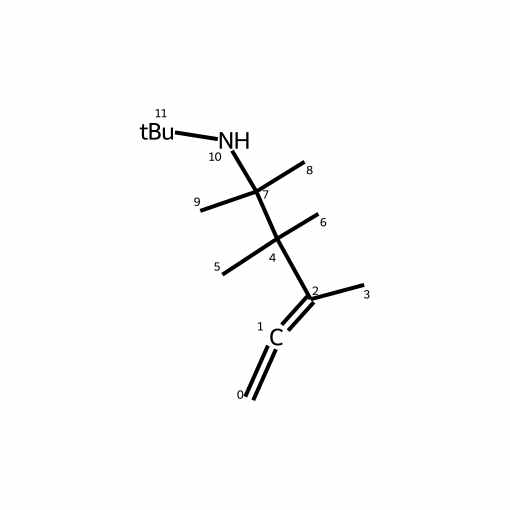 C=C=C(C)C(C)(C)C(C)(C)NC(C)(C)C